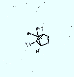 CC(C)C1(C(C)C)[C@H]2CC[C@H](C2)[C@H]1N